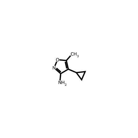 Cc1onc(N)c1C1CC1